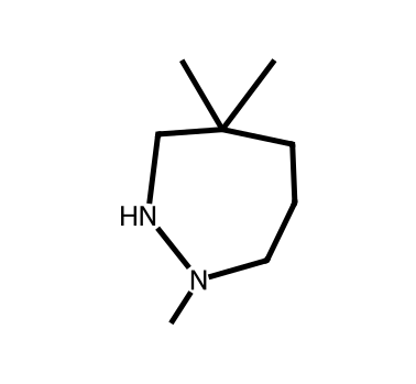 CN1CCCC(C)(C)CN1